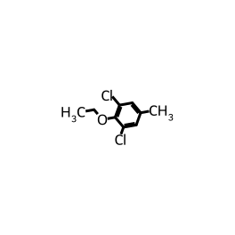 CCOc1c(Cl)cc(C)cc1Cl